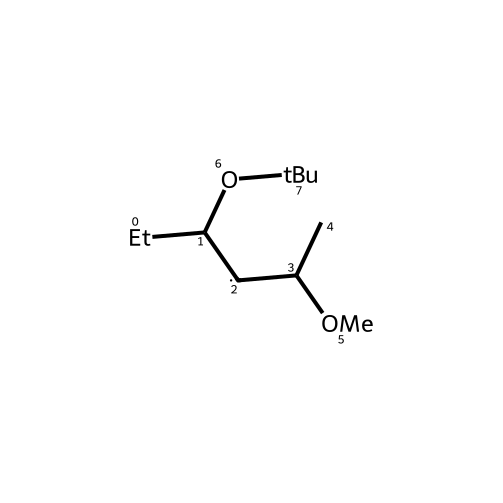 CCC([CH]C(C)OC)OC(C)(C)C